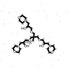 CCC(COCC(O)CN1CCOCC1)(COCC(O)CN1CCOCC1)COCC(O)CN1CCOCC1